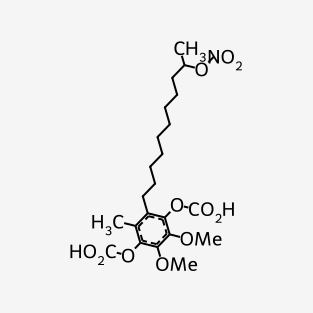 COc1c(OC(=O)O)c(C)c(CCCCCCCCCC(C)O[N+](=O)[O-])c(OC(=O)O)c1OC